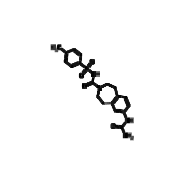 Cc1ccc(S(=O)(=O)NC(=O)N2CCc3ccc(NC(N)=O)cc3CC2)cc1